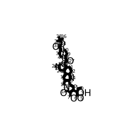 CC[C@@]1(O)C(=O)OCc2c1cc1n(c2=O)Cc2cc3c(CN(C)C)c(OC(=O)N4CCN(C(=O)OC(C)(C)C)CC4)ccc3nc2-1